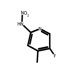 Cc1cc(N[N+](=O)[O-])ncc1F